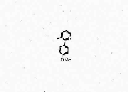 COc1ccc(-c2ncccc2C)cc1